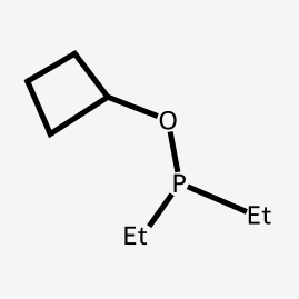 CCP(CC)OC1CCC1